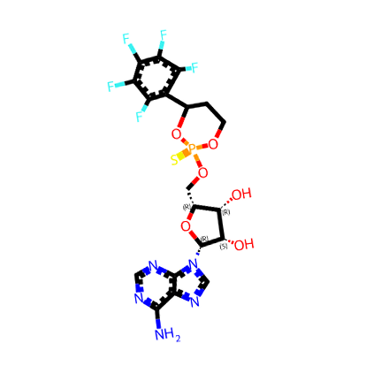 Nc1ncnc2c1ncn2[C@@H]1O[C@H](COP2(=S)OCCC(c3c(F)c(F)c(F)c(F)c3F)O2)[C@H](O)[C@@H]1O